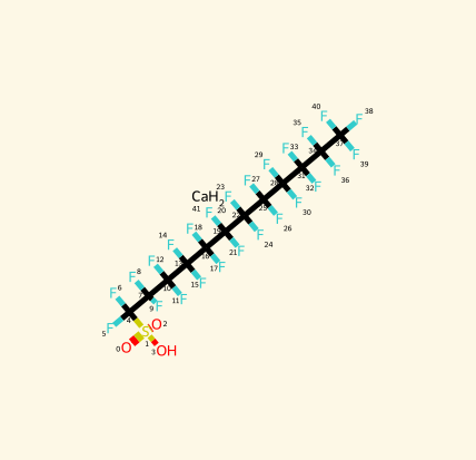 O=S(=O)(O)C(F)(F)C(F)(F)C(F)(F)C(F)(F)C(F)(F)C(F)(F)C(F)(F)C(F)(F)C(F)(F)C(F)(F)C(F)(F)C(F)(F)F.[CaH2]